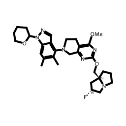 COc1nc(OC[C@@]23CCCN2C[C@H](F)C3)nc2c1CCN(c1c(C)c(C)cc3c1cnn3C1CCCCO1)C2